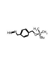 CC(C)(C)[Si](C)(C)OCc1ccc(CN=N)cc1